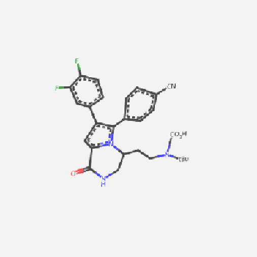 CC(C)(C)N(CCC1CNC(=O)c2cc(-c3ccc(F)c(F)c3)c(-c3ccc(C#N)cc3)n21)C(=O)O